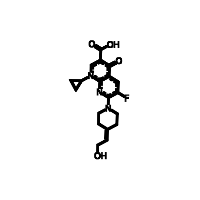 O=C(O)c1cn(C2CC2)c2nc(N3CCC(=CCO)CC3)c(F)cc2c1=O